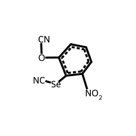 N#COc1cccc([N+](=O)[O-])c1[Se]C#N